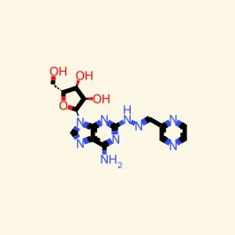 Nc1nc(N/N=C/c2cnccn2)nc2c1ncn2[C@@H]1O[C@H](CO)[C@@H](O)[C@H]1O